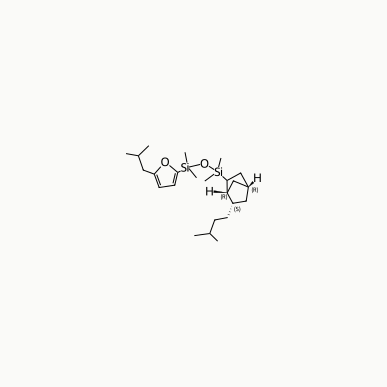 CC(C)CC[C@H]1C[C@H]2CC([Si](C)(C)O[Si](C)(C)c3ccc(CC(C)C)o3)[C@@H]1C2